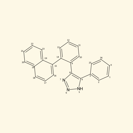 c1ccc(-c2[nH]nnc2-c2ccccc2-c2cccc3ccccc23)cc1